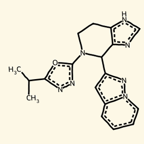 CC(C)c1nnc(N2CCc3[nH]cnc3C2c2cc3ccccn3n2)o1